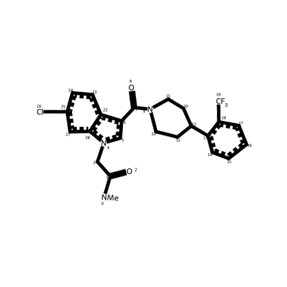 CNC(=O)Cn1cc(C(=O)N2CCC(c3ccccc3C(F)(F)F)CC2)c2ccc(Cl)cc21